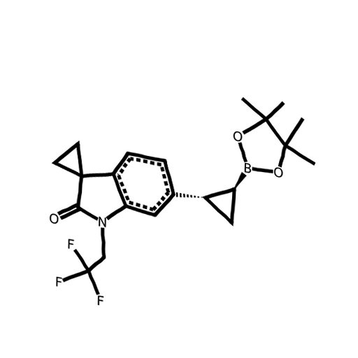 CC1(C)OB([C@H]2C[C@@H]2c2ccc3c(c2)N(CC(F)(F)F)C(=O)C32CC2)OC1(C)C